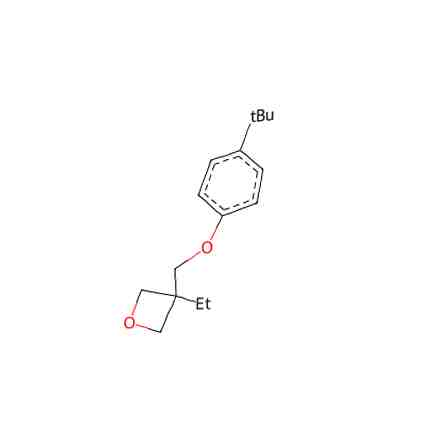 CCC1(COc2ccc(C(C)(C)C)cc2)COC1